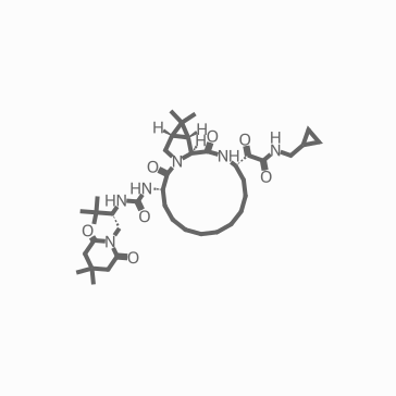 CC1(C)CC(=O)N(C[C@@H](NC(=O)N[C@H]2CCCCCCCCC[C@@H](C(=O)C(=O)NCC3CC3)NC(=O)[C@@H]3[C@@H]4[C@H](CN3C2=O)C4(C)C)C(C)(C)C)C(=O)C1